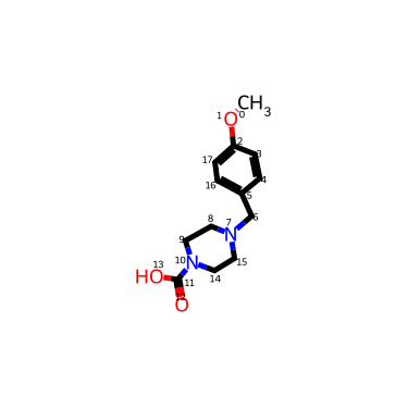 COc1ccc(CN2CCN(C(=O)O)CC2)cc1